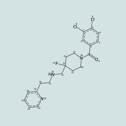 O=C(c1ccc(Cl)c(Cl)c1)N1CCC(F)(CNCCc2ccccn2)CC1